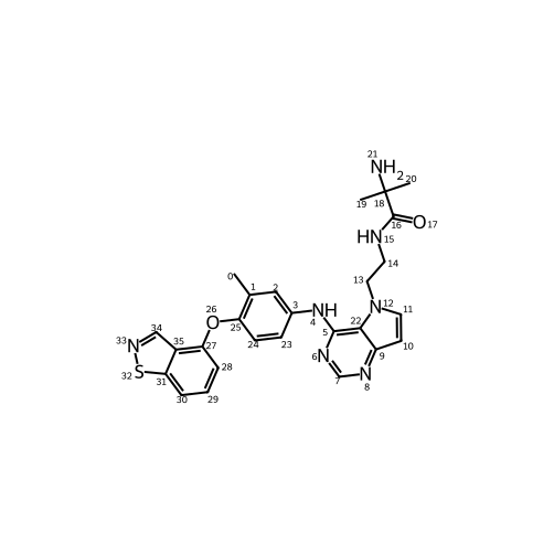 Cc1cc(Nc2ncnc3ccn(CCNC(=O)C(C)(C)N)c23)ccc1Oc1cccc2sncc12